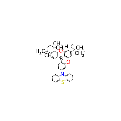 CC(C)(C)c1cc2c3c(c1)Oc1c(ccc4c1C(C)(C)CCC4(C)C)B3c1ccc(N3c4ccccc4Sc4ccccc43)cc1O2